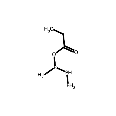 CCC(=O)OP(P)PP